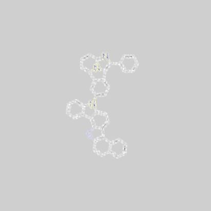 c1ccc(-c2nc3cccc4c5cc(-n6c7ccccc7c7c8sc9ccc%10ccccc%10c9c8ccc76)ccc5c2n34)cc1